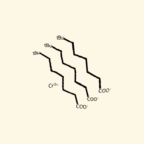 CC(C)(C)CCCCCC(=O)[O-].CC(C)(C)CCCCCC(=O)[O-].CC(C)(C)CCCCCC(=O)[O-].[Cr+3]